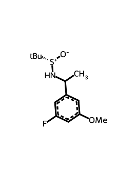 COc1cc(F)cc(C(C)N[S@@+]([O-])C(C)(C)C)c1